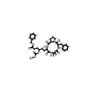 CCOC(=S)SC(CCC(=O)OCc1ccccc1)CCC1NC(=O)C2CCCN2C(=O)C(Cc2ccccc2)NC(=O)C(C)(C)NC1=O